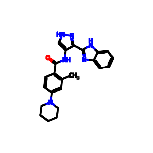 Cc1cc(N2CCCCC2)ccc1C(=O)Nc1c[nH]nc1-c1nc2ccccc2[nH]1